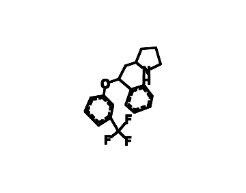 FC(F)(F)c1cccc(OC(CC2CCCN2)c2ccccc2)c1